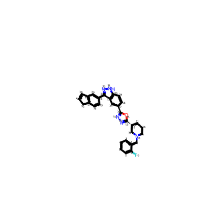 Fc1ccccc1CN1CCC[C@@H](c2nnc(-c3ccc4[nH]nc(-c5ccc6c(c5)C=CC6)c4c3)o2)C1